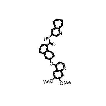 COc1cc2nccc(Oc3ccc4c(C(=O)Nc5cnc6ccccc6c5)cccc4c3)c2cc1OC